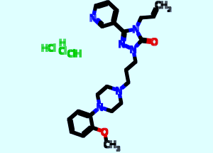 C=CCn1c(-c2cccnc2)nn(CCCN2CCN(c3ccccc3OC)CC2)c1=O.Cl.Cl.Cl